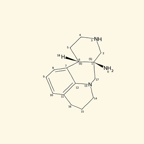 N[C@]12CNCC[C@H]1c1cccc3c1N(CCC3)C2